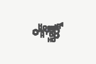 C/C(C(=O)NNc1ccccc1)=C(/O)[C@@H]1Oc2c(O)ccc3c2[C@@]12CCN(CC1CC1)[C@H](C3)[C@@]2(C)O